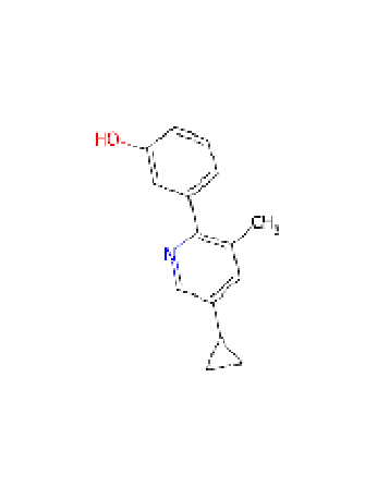 Cc1cc(C2CC2)cnc1-c1cccc(O)c1